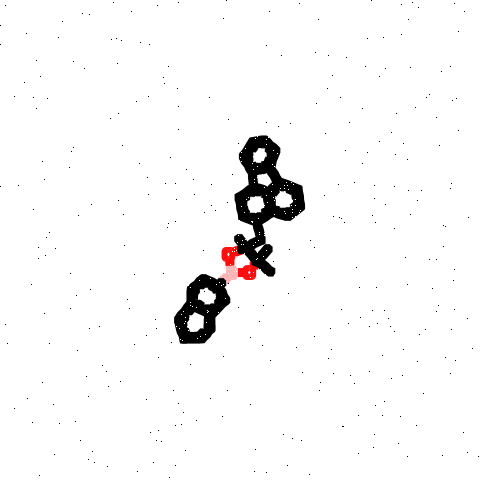 CC1(C)OB(c2ccc3ccccc3c2)OC1(C)Cc1ccc2c3c(cccc13)-c1ccccc1-2